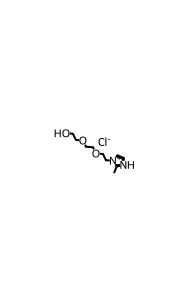 Cc1[nH]cc[n+]1CCOCCOCCO.[Cl-]